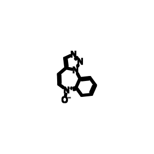 [O-][N+]1=C2CC=CC=C2n2nncc2C=C1